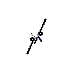 CC/C=C/C(=N\c1cccc(CCCCCCCCCC)c1)C(/CCCC)=N/c1cccc(CCCCCCCCCC)c1.[Ni]